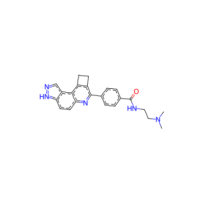 CN(C)CCNC(=O)c1ccc(-c2nc3ccc4[nH]ncc4c3c3c2CC3)cc1